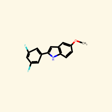 COc1ccc2[nH]c(-c3cc(F)cc(F)c3)cc2c1